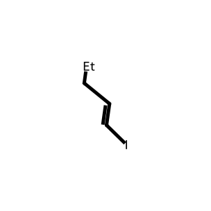 CCC/C=C/I